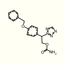 NC(=O)OCC(c1ccc(OCc2ccccc2)cc1)n1ncnn1